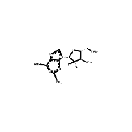 CNc1nc(N)nc2c1ncn2[C@@H]1O[C@H](COC)[C@@H](OC)[C@@]1(C)F